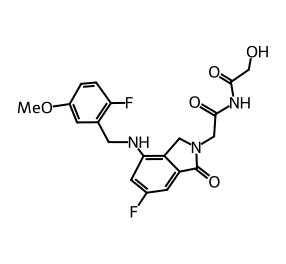 COc1ccc(F)c(CNc2cc(F)cc3c2CN(CC(=O)NC(=O)CO)C3=O)c1